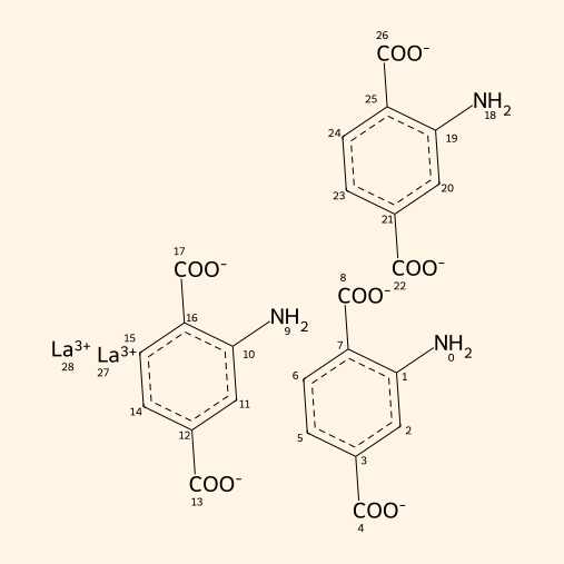 Nc1cc(C(=O)[O-])ccc1C(=O)[O-].Nc1cc(C(=O)[O-])ccc1C(=O)[O-].Nc1cc(C(=O)[O-])ccc1C(=O)[O-].[La+3].[La+3]